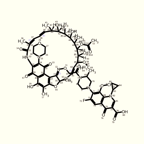 COc1c(N2CCN(C(=O)CO/N=C3/c4c5c(C)c(O)c6c4C(=O)C(N4CCOCC4)=C(NC(=O)/C(C)=C\C=C\[C@H](C)[C@H](O)[C@@H](C)[C@@H](O)[C@@H](C)[C@H](OC(C)=O)[C@H](C)[C@@H](OC)/C=C/O[C@@]3(C)O5)C6=O)C(C)C2)c(F)cc2c(=O)c(C(=O)O)cn(C3CC3)c12